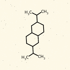 CC(C)C1CCC2CC(C(C)C)CCC2C1